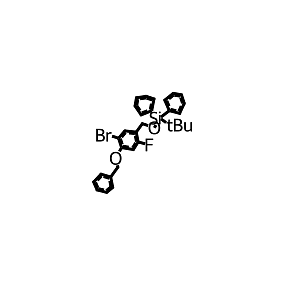 CC(C)(C)[Si](OCc1cc(Br)c(OCc2ccccc2)cc1F)(c1ccccc1)c1ccccc1